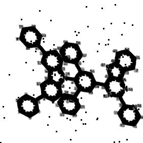 CC(C)(C)c1cc(-c2ccccc2)cc2c3cc(-c4ccccc4)ccc3n(-c3c(-c4ccccc4)cc(-c4nc(-c5ccccn5)nc5c4sc4ccccc45)cc3-c3ccccc3)c12